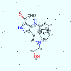 O=CC(=O)c1[nH]cc(-c2cn(CCO)c3ccccc23)c1Nc1ccccc1